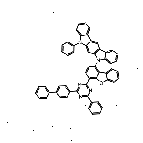 c1ccc(-c2ccc(-c3nc(-c4ccccc4)nc(-c4ccc(-n5c6ccccc6c6cc7c8ccccc8n(-c8ccccc8)c7cc65)c5c4oc4ccccc45)n3)cc2)cc1